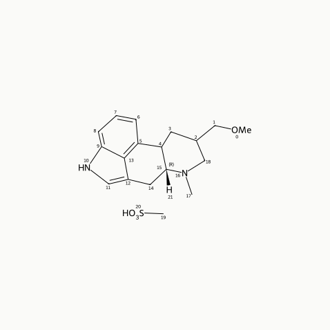 COCC1CC2c3cccc4[nH]cc(c34)C[C@H]2N(C)C1.CS(=O)(=O)O